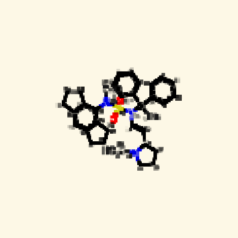 CC(C)(C)[Si](c1ccccc1)(c1ccccc1)N(/C=C/[C@H]1CCCN1C(=O)O)S(=O)(=O)N(C=O)c1c2c(cc3c1CCC3)CCC2